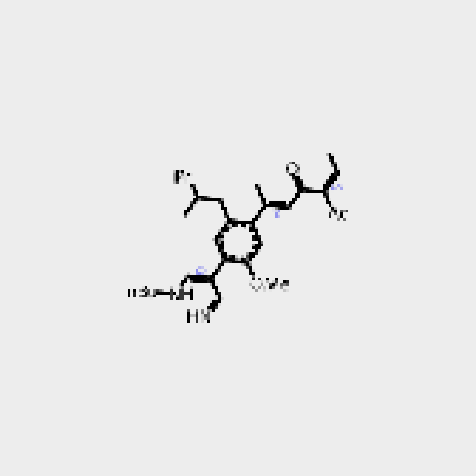 C/C=C(/C(C)=O)C(=O)/C=C(\C)c1cc(OC)c(/C(C=N)=C/NCCCC)cc1CC(C)C(C)C